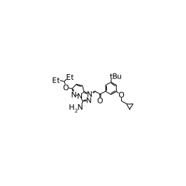 CCC(CC)Oc1ccc2n(n1)c(N)n[n+]2CC(=O)c1cc(OCC2CC2)cc(C(C)(C)C)c1